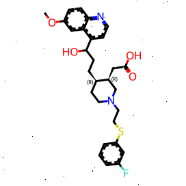 COc1ccc2nccc(C(O)CC[C@@H]3CCN(CCSc4cccc(F)c4)C[C@@H]3CC(=O)O)c2c1